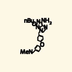 CCCCOc1nc(N)c2c(n1)N(Cc1ccc(Oc3ccc(CNC)cc3)cc1)CC=N2